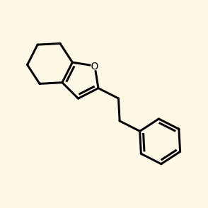 c1ccc(CCc2cc3c(o2)CCCC3)cc1